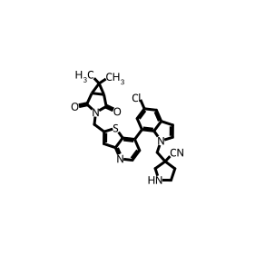 CC1(C)C2C(=O)N(Cc3cc4nccc(-c5cc(Cl)cc6ccn(CC7(C#N)CCNC7)c56)c4s3)C(=O)C21